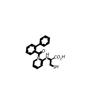 O=C(O)[C@@H](CS)NC1=CC=CCN1C(=O)c1ccccc1-c1ccccc1